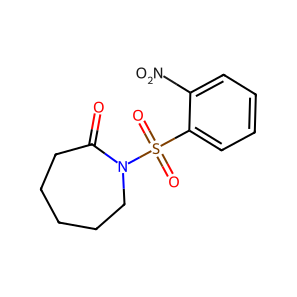 O=C1CCCCCN1S(=O)(=O)c1ccccc1[N+](=O)[O-]